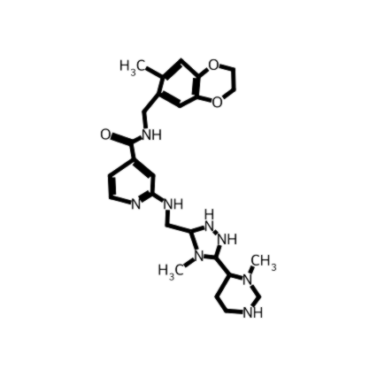 Cc1cc2c(cc1CNC(=O)c1ccnc(NCC3NNC(C4CCNCN4C)N3C)c1)OCCO2